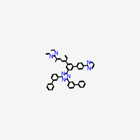 C=C/N=C(\N=C/C)C(/C)=C/C=C(\C=C)c1cc(-c2ccc(-c3ncccn3)cc2)cc(-c2nc(-c3cccc(-c4ccccc4)c3)nc(-c3cccc(-c4ccccc4)c3)n2)c1